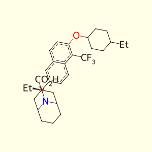 CCC1CCC(Oc2ccc3cc([C@H](CC)N4C5CCCC4CC(C(=O)O)C5)ccc3c2C(F)(F)F)CC1